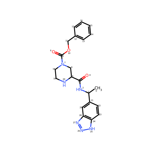 CC(NC(=O)C1CN(C(=O)OCc2ccccc2)CCN1)c1ccc2[nH]nnc2c1